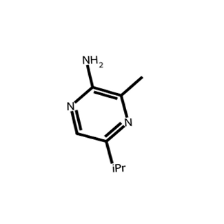 Cc1nc(C(C)C)cnc1N